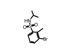 Cc1c(Br)cccc1S(=O)(=O)NC(C)C